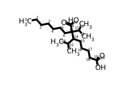 CCCCCCCC(C(=O)O)(C(C)C)C(CCCCC(=O)O)C(C)C